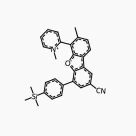 Cc1ccc2c(oc3c(-c4ccc([Si](C)(C)C)cc4)cc(C#N)cc32)c1-c1cccc[n+]1C